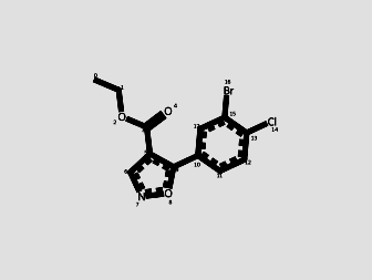 CCOC(=O)c1cnoc1-c1ccc(Cl)c(Br)c1